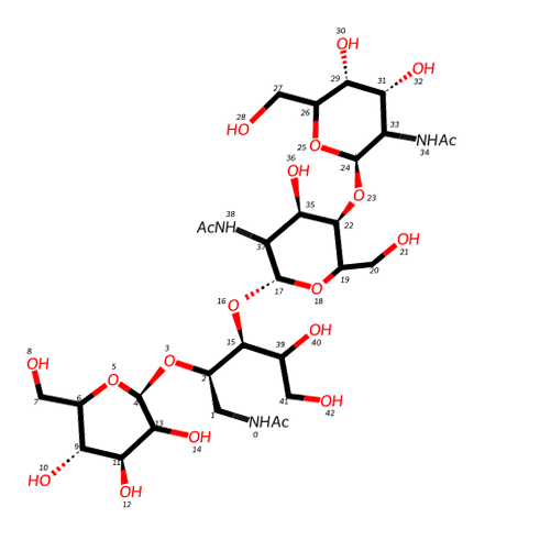 CC(=O)NC[C@@H](O[C@@H]1OC(CO)[C@@H](O)[C@H](O)C1O)[C@@H](O[C@H]1OC(CO)[C@H](O[C@H]2OC(CO)[C@H](O)[C@H](O)C2NC(C)=O)[C@H](O)C1NC(C)=O)C(O)CO